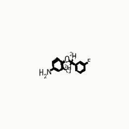 [2H]C([2H])(Oc1ccc(N)cc1Cl)c1cccc(F)c1